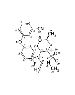 C[C@H]1C[C@@H]2[C@](c3cc(Oc4cc(C#N)ccn4)ccc3F)(CO1)NC(=N)N(C)S2(=O)=O